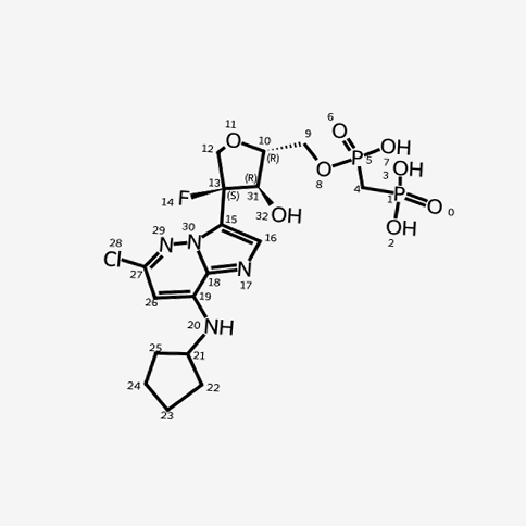 O=P(O)(O)CP(=O)(O)OC[C@H]1OC[C@@](F)(c2cnc3c(NC4CCCC4)cc(Cl)nn23)[C@@H]1O